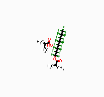 C=C(C)C(=O)OC(F)(F)C(F)(F)C(F)(F)C(F)(F)C(F)(F)C(F)(F)C(F)(F)C(F)(F)F.C=C(CC)C(=O)O